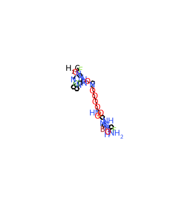 C=C(F)C(=O)N1CCN(c2nc(OC[C@@H]3CCCN3CCOCCOCCOCCOCCNS(=O)(=O)c3ccc(Nc4ncc(Br)c(Nc5cccc(F)c5C(N)=O)n4)cc3)nc3c2CCN(c2cccc4cccc(Cl)c24)C3)C[C@@H]1CC#N